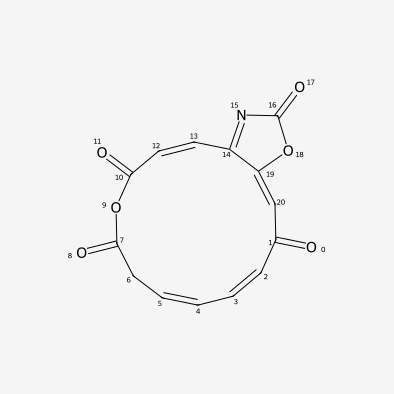 O=C1C=CC=CCC(=O)OC(=O)C=CC2=NC(=O)OC2=C1